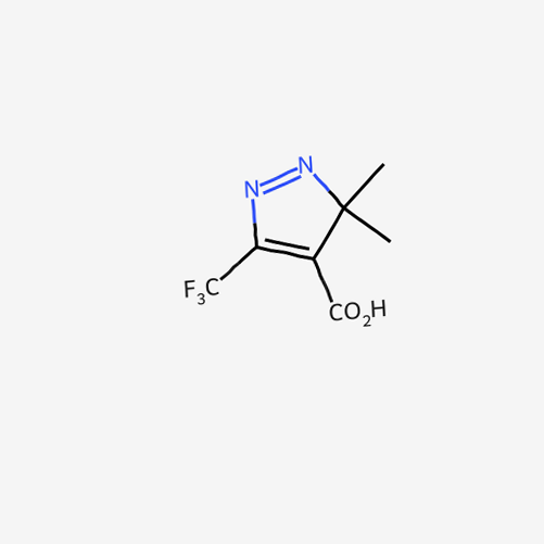 CC1(C)N=NC(C(F)(F)F)=C1C(=O)O